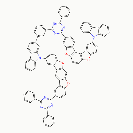 c1ccc(-c2nc(-c3cccc(-c4ccc5c6ccccc6n(-c6ccc7oc8cc9oc%10ccc(-c%11nc(-c%12ccccc%12)nc(-c%12ccccc%12)n%11)cc%10c9cc8c7c6)c5c4)c3)nc(-c3ccc4c(c3)oc3ccc5oc6ccc(-n7c8ccccc8c8ccccc87)cc6c5c34)n2)cc1